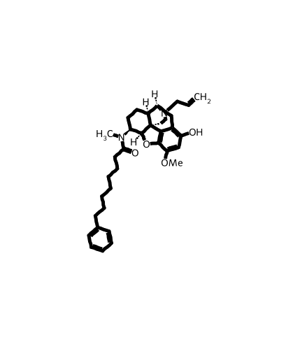 C=CCN1CC[C@]23c4c5c(O)cc(OC)c4O[C@H]2[C@@H](N(C)C(=O)CCCCCCCc2ccccc2)CC[C@H]3[C@H]1C5